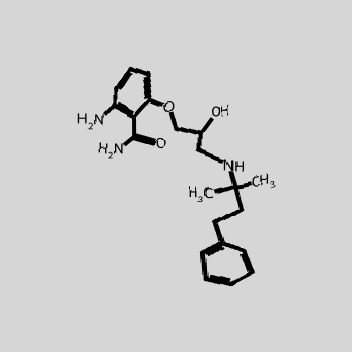 CC(C)(CCc1ccccc1)NCC(O)COc1cccc(N)c1C(N)=O